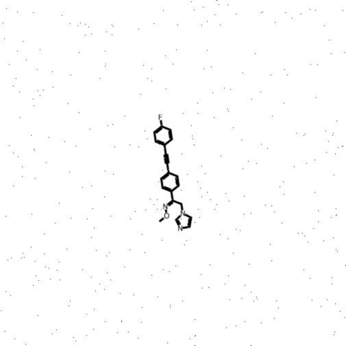 CO/N=C(\Cn1ccnc1)c1ccc(C#Cc2ccc(F)cc2)cc1